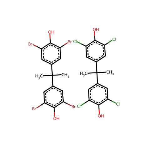 CC(C)(c1cc(Br)c(O)c(Br)c1)c1cc(Br)c(O)c(Br)c1.CC(C)(c1cc(Cl)c(O)c(Cl)c1)c1cc(Cl)c(O)c(Cl)c1